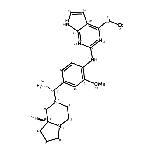 CCOc1nc(Nc2ccc([C@H](N3CCN4CCC[C@@H]4C3)C(F)(F)F)cc2OC)nc2[nH]ccc12